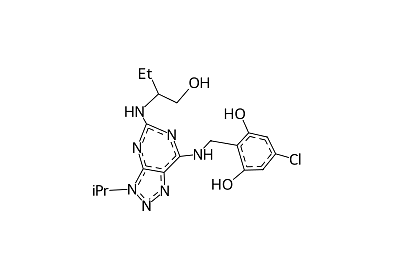 CCC(CO)Nc1nc(NCc2c(O)cc(Cl)cc2O)c2nnn(C(C)C)c2n1